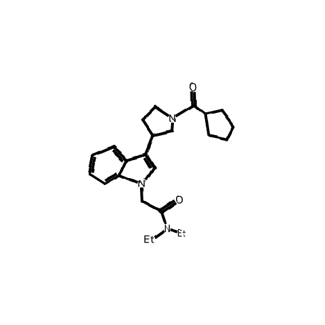 CCN(CC)C(=O)Cn1cc(C2CCN(C(=O)C3CCCC3)C2)c2ccccc21